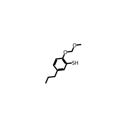 CCCc1ccc(OCOC)c(S)c1